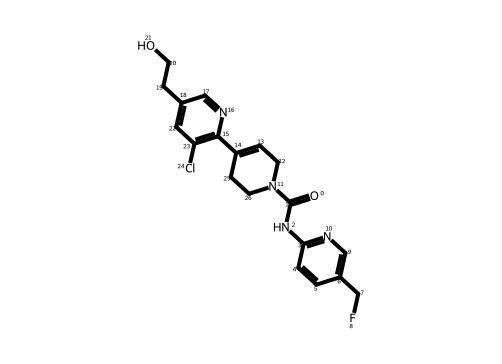 O=C(Nc1ccc(CF)cn1)N1CC=C(c2ncc(CCO)cc2Cl)CC1